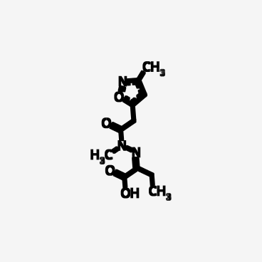 CCC(=NN(C)C(=O)Cc1cc(C)no1)C(=O)O